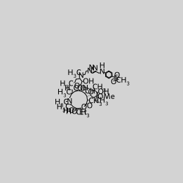 CC[C@H]1OC(=O)[C@H](C)C([C@H]2C[C@@](C)(OC)[C@@H](O)[C@H](C)O2)[C@H](C)[C@@H](O[C@@H]2O[C@H](C)C[C@H](N(C)CCn3cc(CNc4ccc(S(C)(=O)=O)cc4)nn3)[C@H]2O)[C@](C)(O)C[C@@H](C)CN(C)[C@H](C)[C@@H](O)[C@]1(C)O